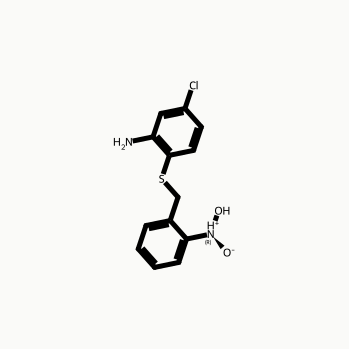 Nc1cc(Cl)ccc1SCc1ccccc1[N@H+]([O-])O